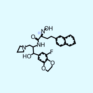 O=C(NC(CN1CCC1)C(O)c1cc(F)c2c(c1)OCCO2)/C(CCc1ccc2ccccc2c1)=N/O